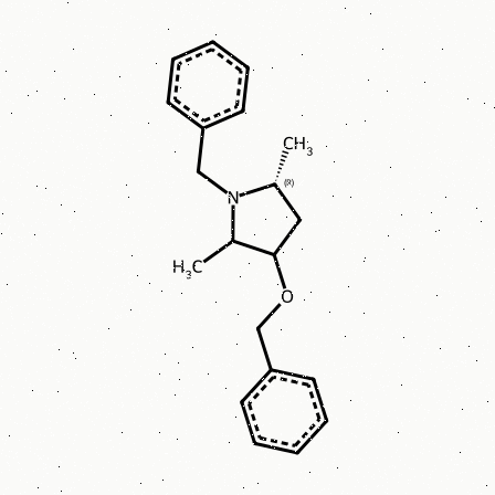 CC1C(OCc2ccccc2)C[C@@H](C)N1Cc1ccccc1